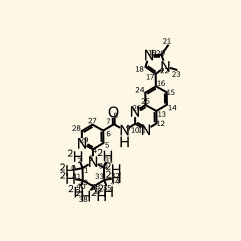 [2H]C1([2H])N(c2cc(C(=O)Nc3ncc4ccc(-c5cnc(C)n5C)cc4n3)ccn2)C([2H])([2H])C([2H])([2H])C([2H])([2H])C1([2H])[2H]